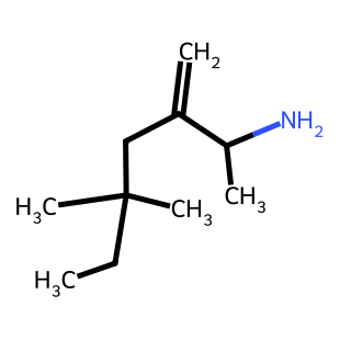 C=C(CC(C)(C)CC)C(C)N